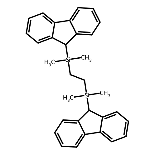 C[Si](C)(CC[Si](C)(C)C1c2ccccc2-c2ccccc21)C1c2ccccc2-c2ccccc21